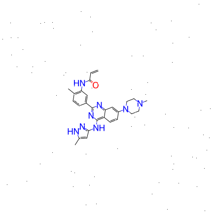 C=CC(=O)Nc1cc(-c2nc(Nc3cc(C)[nH]n3)c3ccc(N4CCN(C)CC4)cc3n2)ccc1C